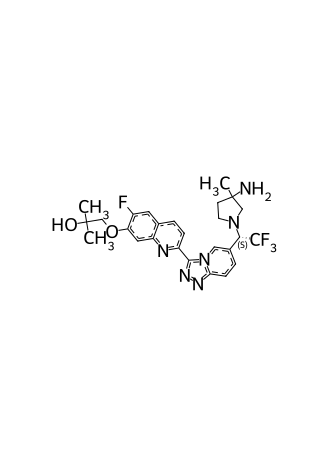 CC(C)(O)COc1cc2nc(-c3nnc4ccc([C@H](N5CCC(C)(N)C5)C(F)(F)F)cn34)ccc2cc1F